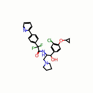 O=C(NC(CN1CCCC1)C(O)c1ccc(OC2CC2)c(Cl)c1)C(F)(F)c1ccc(-c2ccccn2)cc1